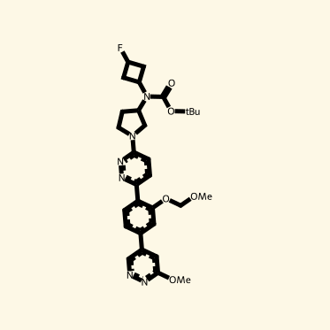 COCOc1cc(-c2cnnc(OC)c2)ccc1-c1ccc(N2CCC(N(C(=O)OC(C)(C)C)C3CC(F)C3)C2)nn1